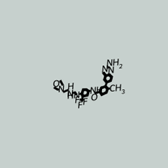 Cc1ccc(C(=O)Nc2ccc(NCNCCN3CCOCC3)c(C(F)(F)F)c2)cc1-c1ccc2nc(N)ncc2c1